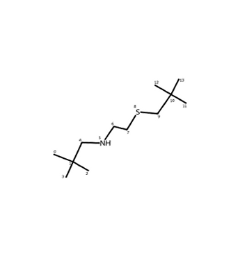 CC(C)(C)CNCCSCC(C)(C)C